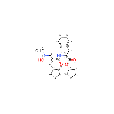 O=CN(O)CC(CC1CCCC1)C(=O)N[C@@H](Cc1ccccc1)C(=O)OC1CCCC1